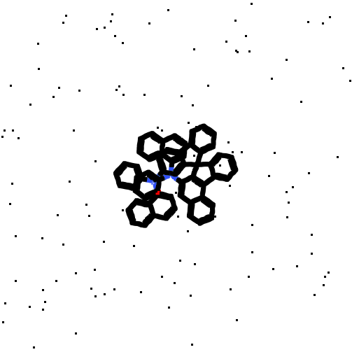 c1ccc(N(c2ccc3c(c2)C2(c4ccccc4-3)c3ccccc3-c3c2c(N(c2ccccc2)c2cccc4ccccc24)cc2ccccc32)c2cccc3ccccc23)cc1